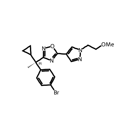 COCCn1cc(-c2nc([C@@](C)(c3ccc(Br)cc3)C3CC3)no2)cn1